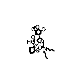 CCCCN(CCCC)C(=O)CN1C[C@H](c2cc(OC)c3c(c2)OCO3)[C@H](C(=O)O)[C@H]1COc1ccccc1OC